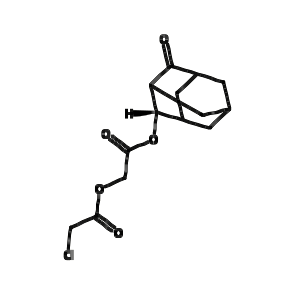 O=C(CCl)OCC(=O)O[C@H]1C2CC3CC(C2)C(=O)C1C3